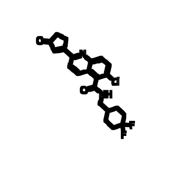 O=C1C=C(c2ccc3c(C(=O)NCC4CCC(F)(F)CC4)c(Cl)ccc3n2)CC1